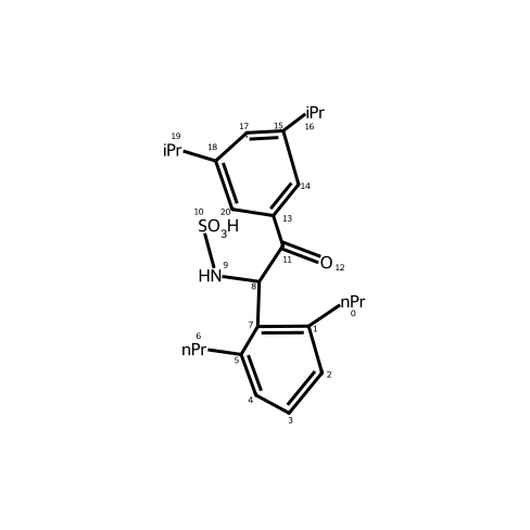 CCCc1cccc(CCC)c1C(NS(=O)(=O)O)C(=O)c1cc(C(C)C)[c]c(C(C)C)c1